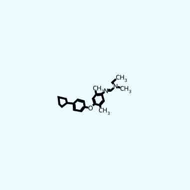 CCN(C)/C=N/c1cc(C)c(Oc2ccc(C3CCCC3)cc2)cc1C